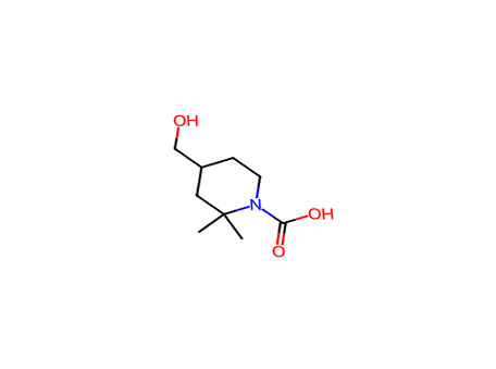 CC1(C)CC(CO)CCN1C(=O)O